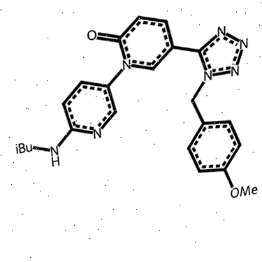 CCC(C)Nc1ccc(-n2cc(-c3nnnn3Cc3ccc(OC)cc3)ccc2=O)cn1